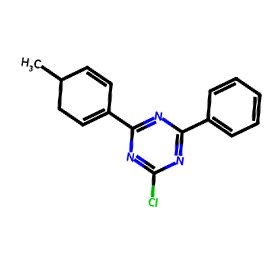 CC1C=CC(c2nc(Cl)nc(-c3ccccc3)n2)=CC1